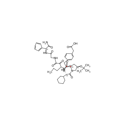 CCCC(NC(=O)[C@@H]1C[C@@H](OC(C)(C)C)CN1C(=O)[C@@H](NC(=O)Cc1ccc(CC(=O)O)cc1)C1CCCCC1)C(=O)C(=O)NCC(=O)N[C@H](C(N)=O)c1ccccc1